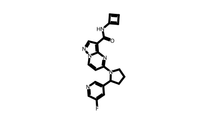 O=C(NC1=CC=C1)c1cnn2ccc(N3CCCC3c3cncc(F)c3)nc12